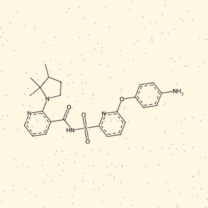 CC1CCN(c2ncccc2C(=O)NS(=O)(=O)c2cccc(Oc3ccc(N)cc3)n2)C1(C)C